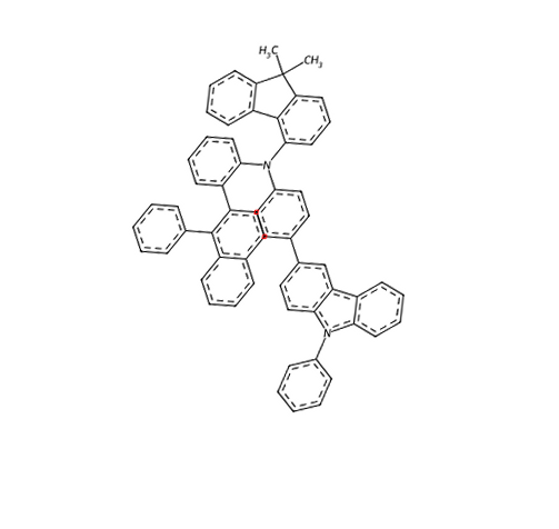 CC1(C)c2ccccc2-c2c(N(c3ccc(-c4ccc5c(c4)c4ccccc4n5-c4ccccc4)cc3)c3ccccc3-c3ccc4ccccc4c3-c3ccccc3)cccc21